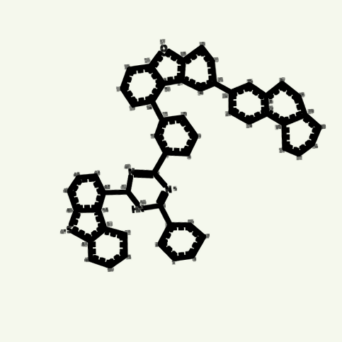 c1ccc(C2=NC(c3cccc(-c4cccc5oc6ccc(-c7ccc8c(ccc9ccccc98)c7)cc6c45)c3)=NC(c3cccc4sc5ccccc5c34)N2)cc1